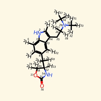 [2H]c1[nH]c2c([2H])c([2H])c(C([2H])([2H])[C@]3([2H])NC(=O)OC3([2H])[2H])c([2H])c2c1CC([2H])([2H])N(C([2H])([2H])[2H])C([2H])([2H])[2H]